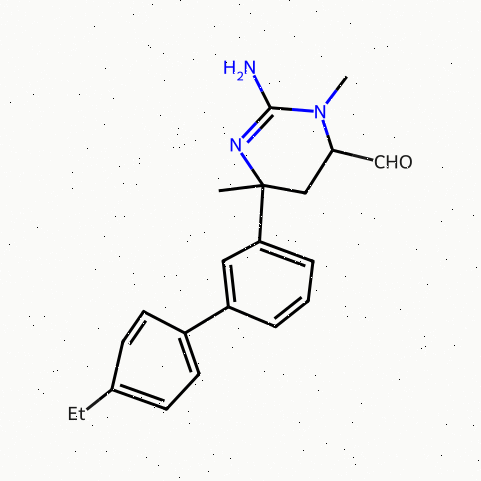 CCc1ccc(-c2cccc(C3(C)CC(C=O)N(C)C(N)=N3)c2)cc1